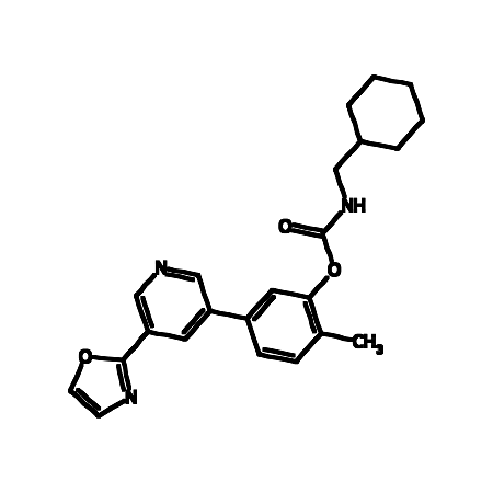 Cc1ccc(-c2cncc(-c3ncco3)c2)cc1OC(=O)NCC1CCCCC1